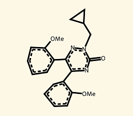 COc1ccccc1-c1nc(=O)n(CC2CC2)nc1-c1ccccc1OC